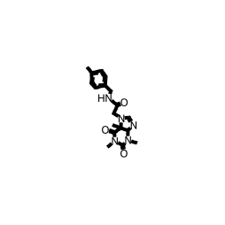 Cc1ccc(CNC(=O)CN2C=NC3N(C)C(=O)N(C)C(=O)C32C)cc1